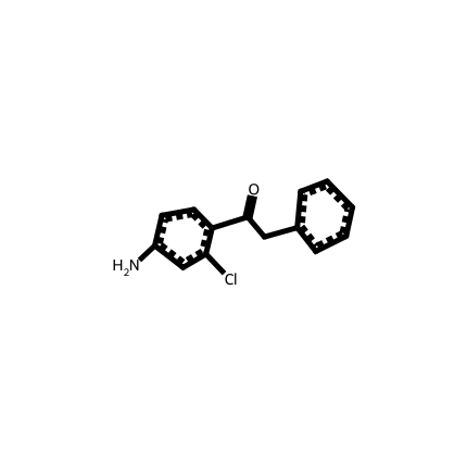 Nc1ccc(C(=O)Cc2ccccc2)c(Cl)c1